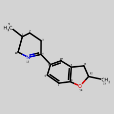 CC1CCC(c2ccc3c(c2)CC(C)O3)=NC1